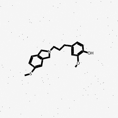 COc1cc(CCCN2Cc3ccc(SC)cc3C2)ccc1O